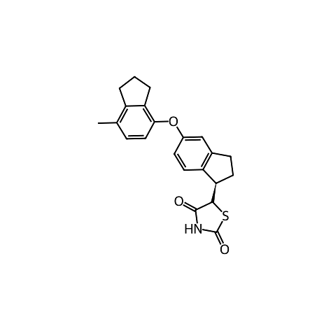 Cc1ccc(Oc2ccc3c(c2)CC[C@H]3C2SC(=O)NC2=O)c2c1CCC2